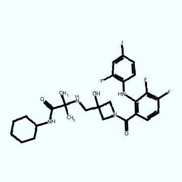 CC(C)(NCC1(O)CN(C(=O)c2ccc(F)c(F)c2Nc2ccc(I)cc2F)C1)C(=O)NC1CCCCC1